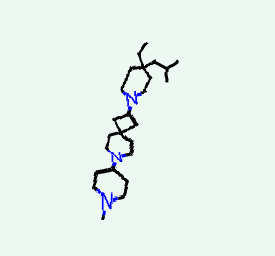 CCC1(CC(C)C)CCN(C2CC3(CCN(C4CCN(C)CC4)CC3)C2)CC1